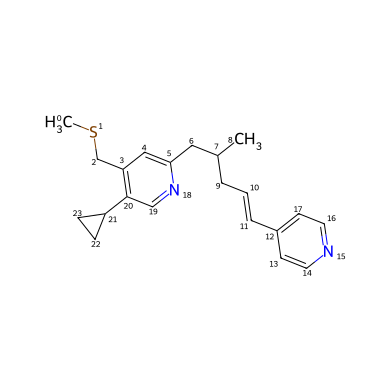 CSCc1cc(CC(C)C/C=C/c2ccncc2)ncc1C1CC1